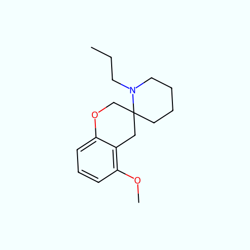 CCCN1CCCCC12COc1cccc(OC)c1C2